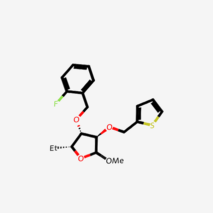 CC[C@H]1OC(OC)[C@H](OCc2cccs2)[C@H]1OCc1ccccc1F